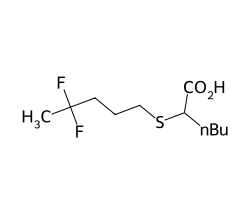 CCCCC(SCCCC(C)(F)F)C(=O)O